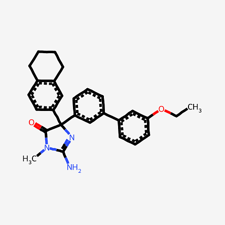 CCOc1cccc(-c2cccc(C3(c4ccc5c(c4)CCCC5)N=C(N)N(C)C3=O)c2)c1